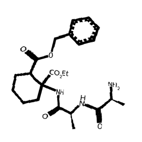 CCOC(=O)C1(NC(=O)[C@H](C)NC(=O)[C@H](C)N)CCCCC1C(=O)OCc1ccccc1